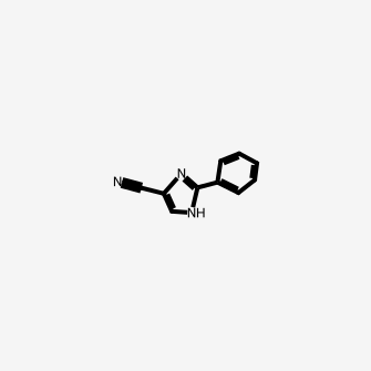 N#Cc1c[nH]c(-c2ccccc2)n1